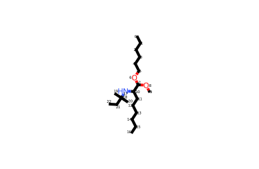 CCCCCCOC(OC)C(CCCCCC)NC(C)(C)CC